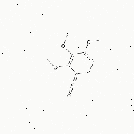 COC1=[C]CC(=C=O)C(OC)=C1OC